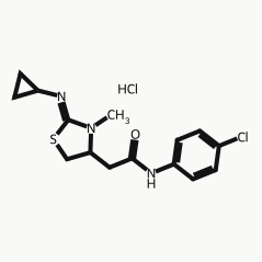 CN1C(=NC2CC2)SCC1CC(=O)Nc1ccc(Cl)cc1.Cl